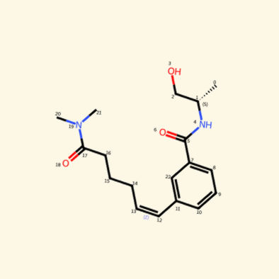 C[C@@H](CO)NC(=O)c1cccc(/C=C\CCCC(=O)N(C)C)c1